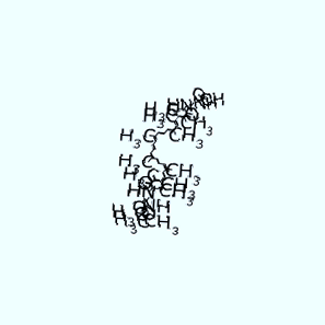 CC(C=CC=C(C)C=CC1=C(C)C(=O)C(NCCNC(=O)O)CC1(C)C)=CC=CC=C(C)C=CC=C(C)C=CC1=C(C)C(=O)C(NCCNC(=O)OC(C)(C)C)CC1(C)C